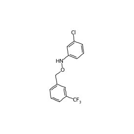 FC(F)(F)c1cccc(CONc2cccc(Cl)c2)c1